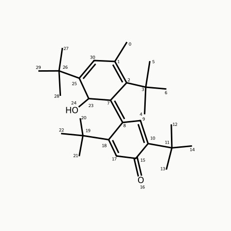 CC1=C(C(C)(C)C)C(=C2C=C(C(C)(C)C)C(=O)C=C2C(C)(C)C)C(O)C(C(C)(C)C)=C1